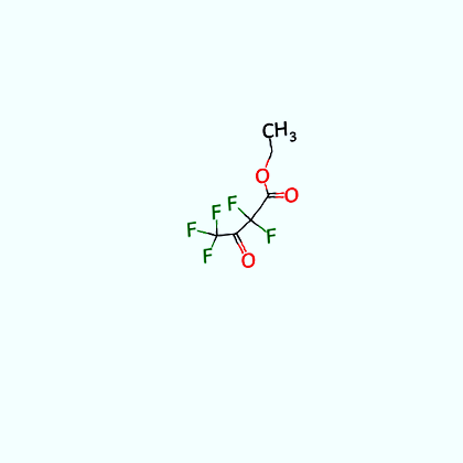 CCOC(=O)C(F)(F)C(=O)C(F)(F)F